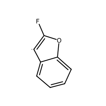 Fc1[c]c2ccccc2o1